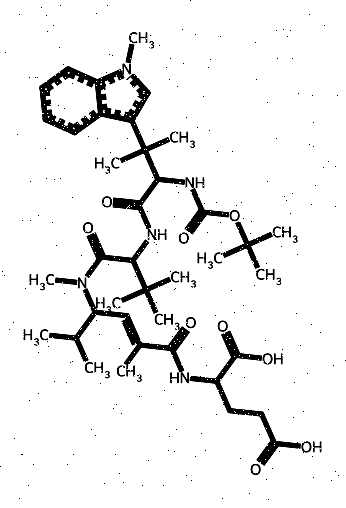 C/C(=C\C(C(C)C)N(C)C(=O)C(NC(=O)C(NC(=O)OC(C)(C)C)C(C)(C)c1cn(C)c2ccccc12)C(C)(C)C)C(=O)NC(CCC(=O)O)C(=O)O